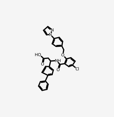 O=C(O)CC(NC(=O)c1cc(Cl)ccc1OCc1ccc(-n2cccn2)cc1)c1ccc(-c2ccccc2)cc1